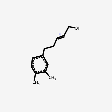 Cc1ccc(CC/C=C/CO)cc1C